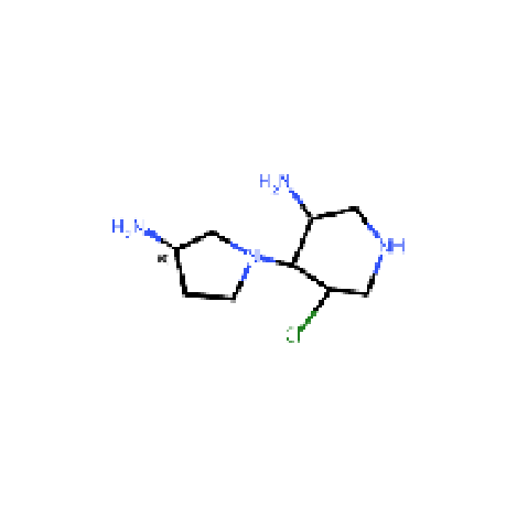 NC1CNCC(Cl)C1N1CC[C@@H](N)C1